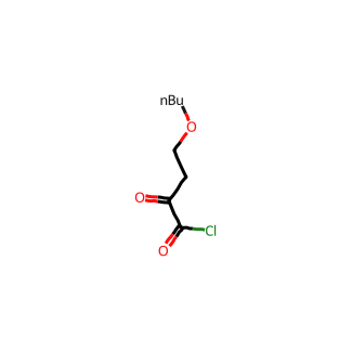 CCCCOCCC(=O)C(=O)Cl